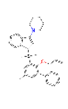 C=CCOc1c(-c2ccccc2)cc(C)cc1[Si](C)(C)C1C=C(N2CCCCC2)c2ccccc21